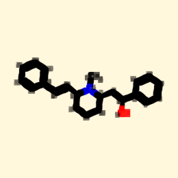 CN1[C@@H](C[C@H](O)c2ccccc2)CCC[C@H]1/C=C/c1ccccc1